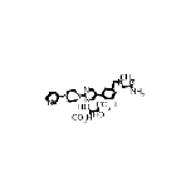 CN(CC(N)=O)Cc1cccc(-c2cnc(N3CCN(c4cccnc4)CC3)nc2)c1.O=C(O)C(O)C(O)C(=O)O